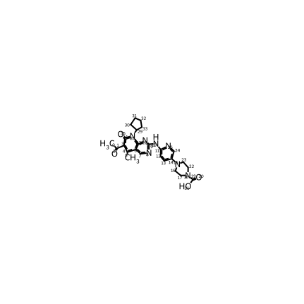 CC(=O)c1c(C)c2cnc(Nc3ccc(N4CCN(C(=O)O)CC4)cn3)nc2n(C2CCCC2)c1=O